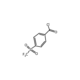 O=C(Cl)c1ccc(S(=O)(=O)C(F)(F)F)cc1